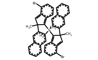 CC1(c2ccc3ccccc3c2)C=c2c(Br)cccc2=C1[Si](C)(C)C1=c2cccc(Br)c2=CC1(C)c1ccc2ccccc2c1